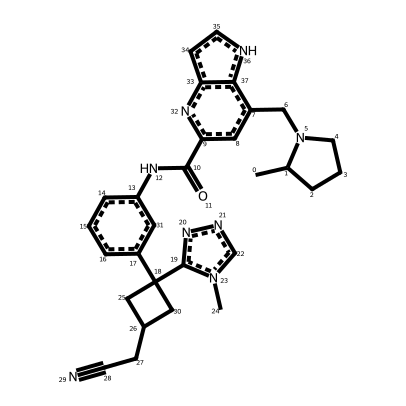 CC1CCCN1Cc1cc(C(=O)Nc2cccc(C3(c4nncn4C)CC(CC#N)C3)c2)nc2cc[nH]c12